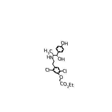 CCOC(=O)COc1cc(Cl)c(CCN[C@@H](C)[C@H](O)c2ccc(O)cc2)cc1Cl